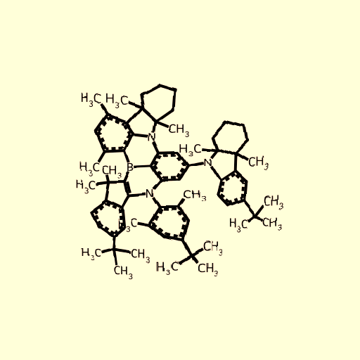 Cc1cc(C)c2c3c1B1C4=C(c5cc(C(C)(C)C)ccc5C4(C)C)N(c4c(C)cc(C(C)(C)C)cc4C)c4cc(N5c6ccc(C(C)(C)C)cc6C6(C)CCCCC56C)cc(c41)N3C1(C)CCCCC21C